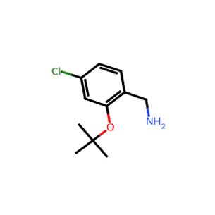 CC(C)(C)Oc1cc(Cl)ccc1CN